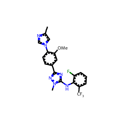 COc1cc(-c2nc(Nc3c(F)cccc3C(F)(F)F)n(C)n2)ccc1-n1cnc(C)c1